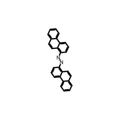 c1ccc2c(c1)ccc1c(N=Nc3cccc4c3ccc3ccccc34)cccc12